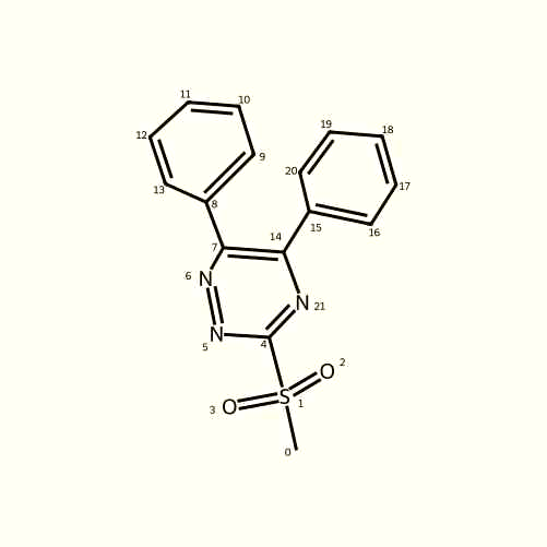 CS(=O)(=O)c1nnc(-c2ccccc2)c(-c2ccccc2)n1